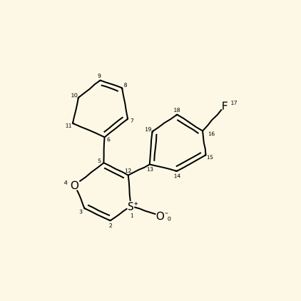 [O-][S+]1C=COC(C2=CC=CCC2)=C1c1ccc(F)cc1